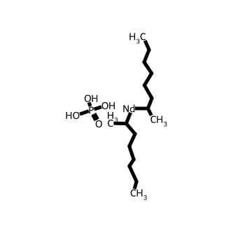 CCCCCC[CH](C)[Nd][CH](C)CCCCCC.O=P(O)(O)O